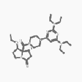 CCOC1CCN2C(=O)CC(=O)C12C(=O)N1CCN(c2cc(N(CC)CC)nc(N(CC)CC)n2)CC1